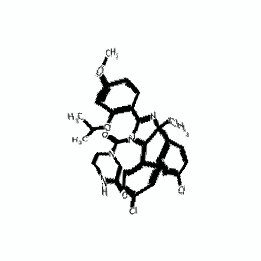 COc1ccc(C2=NC(C)(c3ccc(Cl)cc3)C(c3ccc(Cl)cc3)N2C(=O)N2CCNC(=O)C2)c(OC(C)C)c1